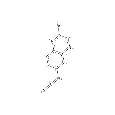 S=C=Nc1ccc2nc(Br)cnc2c1